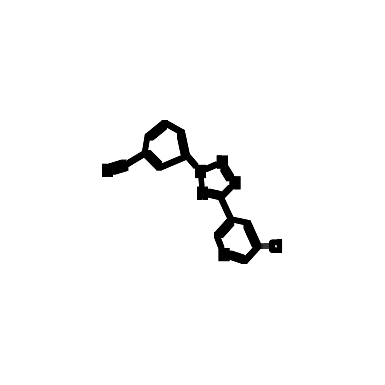 N#Cc1cccc(-n2nnc(-c3cncc(Cl)c3)n2)c1